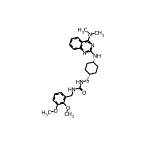 COc1cccc(CNC(=O)NS[C@H]2CC[C@@H](Nc3nc(N(C)C)c4ccccc4n3)CC2)c1OC